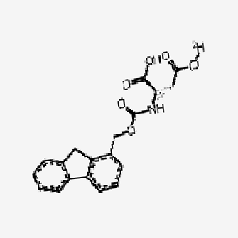 [2H]OC(=O)C[C@H](NC(=O)OCc1cccc2c1Cc1ccccc1-2)C(=O)O